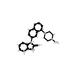 CN1CCN(c2cccc3ccc(-n4c(=O)[nH]c5ncccc54)cc23)CC1